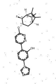 CC1=C(C)[C@@H]2[C@H](F)[C@@H](Oc3ccc(-c4ccc(-n5ccnc5)cc4O)nn3)C[C@H]1N2C